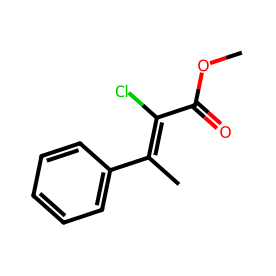 COC(=O)C(Cl)=C(C)c1ccccc1